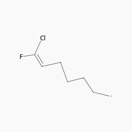 [CH2]CCCCC=C(F)Cl